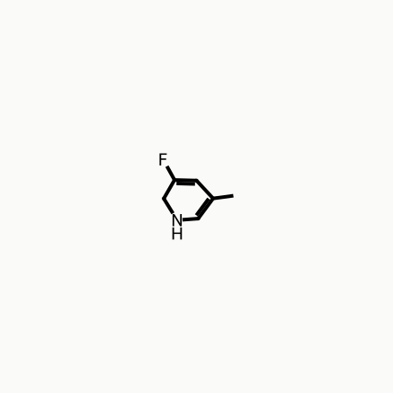 CC1=CNCC(F)=C1